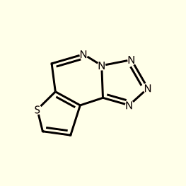 c1cc2c(cnn3nnnc23)s1